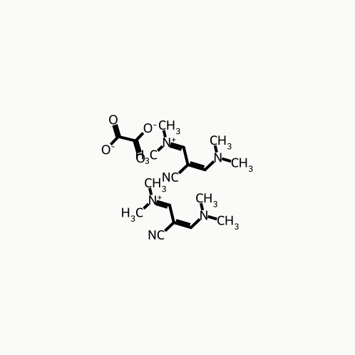 CN(C)C=C(C#N)C=[N+](C)C.CN(C)C=C(C#N)C=[N+](C)C.O=C([O-])C(=O)[O-]